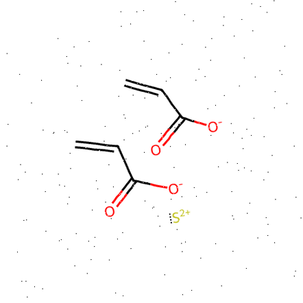 C=CC(=O)[O-].C=CC(=O)[O-].[S+2]